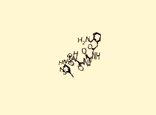 Cc1cc(NS(=O)(=O)NC(=O)N2C[C@H](NC(=O)Cc3ccccc3CN)C2=O)ns1